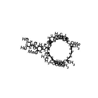 CO[C@H]1C[C@@H]2CCC(C)[C@@](O)(O2)C(=O)C(=O)N2CCCC[C@H]2C(=O)O[C@H]([C@H](C)C[C@@H]2CC[C@@H](OC(=O)N(CCO)CCO)[C@H](OC)C2)CC(=O)[C@H](C)/C=C(\C)[C@@H](O)[C@@H](OC)C(=O)[C@H](C)C[C@H](C)/C=C/C=C/C=C/1C